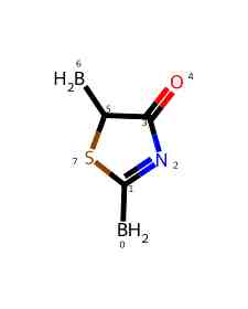 BC1=NC(=O)C(B)S1